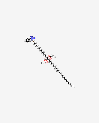 CCCCCCCCCCCCCCCCCCCCCCCC[C@@H](C(=O)OC)[C@@H](CCCCCCCCCCCCCCSN1NN=NC1c1ccccc1)OC(C)=O